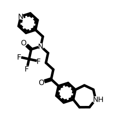 O=C(CCCN(Cc1ccncc1)C(=O)C(F)(F)F)c1ccc2c(c1)CCNCC2